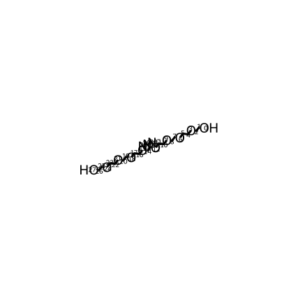 OCCOCCOCCOCCOCCOCCOCCOCCOCCO.[N-]=[N+]=[N-]